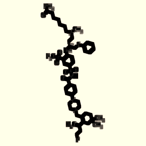 C=C(CCF)C1=C(CN2CCN(c3ccc(C(=O)NS(=O)(=O)c4ccc(N[C@H](CCN(C)CCCCCCC(N)=O)CSc5ccccc5)c(S(=O)(=O)C(F)(F)F)c4)cc3)CC2)CCC(C)(C)C1